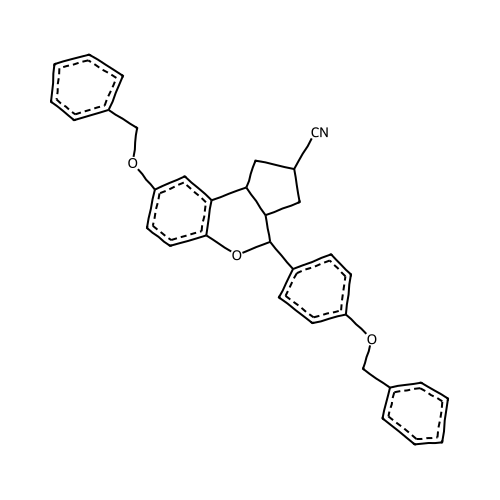 N#CC1CC2c3cc(OCc4ccccc4)ccc3OC(c3ccc(OCc4ccccc4)cc3)C2C1